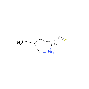 CC1CN[C@@H](C=S)C1